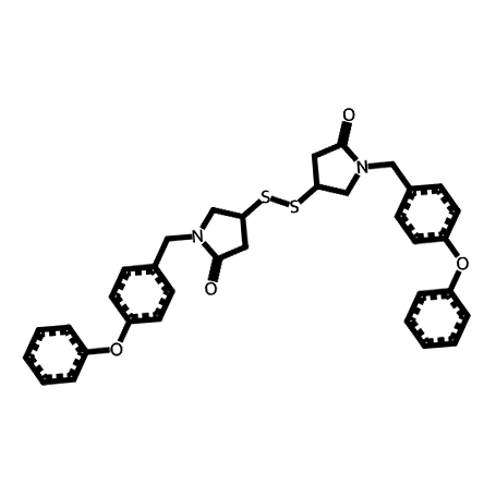 O=C1CC(SSC2CC(=O)N(Cc3ccc(Oc4ccccc4)cc3)C2)CN1Cc1ccc(Oc2ccccc2)cc1